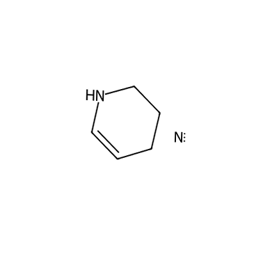 C1=CNCCC1.[N]